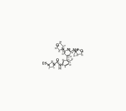 CC[C@@H]1CCN(C(=O)Nc2ccc(C)c(-c3cc(NC4(C)CCOC4)nc(N4CCOCC4)c3)c2)C1